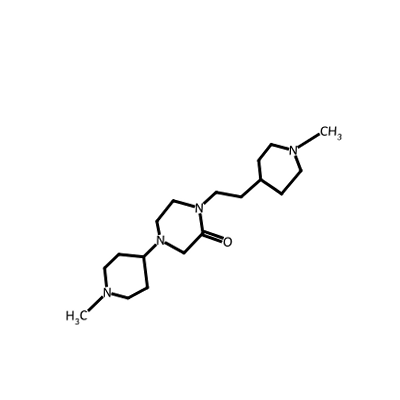 CN1CCC(CCN2CCN(C3CCN(C)CC3)CC2=O)CC1